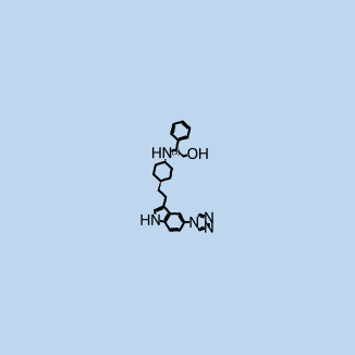 OC[C@@H](N[C@H]1CC[C@H](CCc2c[nH]c3ccc(-n4cnnc4)cc23)CC1)c1ccccc1